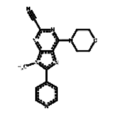 Cn1c(-c2ccncc2)nc2c(N3CCOCC3)nc(C#N)nc21